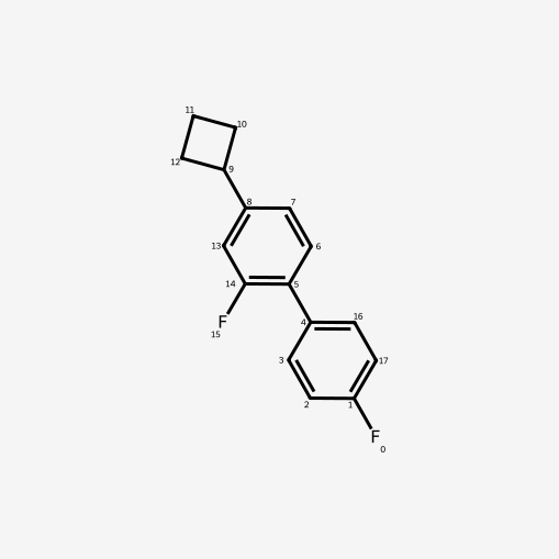 Fc1ccc(-c2ccc(C3CCC3)cc2F)cc1